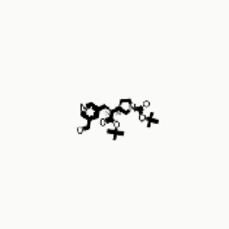 CC(C)(C)OC(=O)[C@@H](Cc1cncc(C=O)c1)[C@H]1CCN(C(=O)OC(C)(C)C)C1